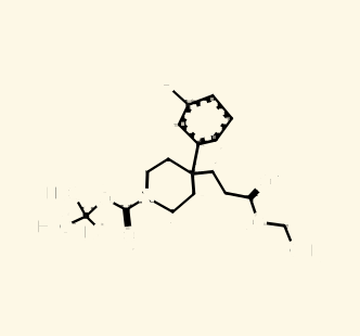 CCOC(=O)CCC1(c2cccc(F)c2)CCN(C(=O)OC(C)(C)C)CC1